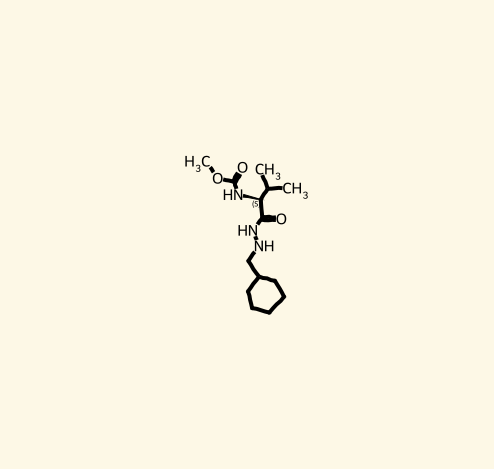 COC(=O)N[C@H](C(=O)NNCC1CCCCC1)C(C)C